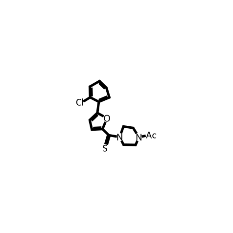 CC(=O)N1CCN(C(=S)c2ccc(-c3ccccc3Cl)o2)CC1